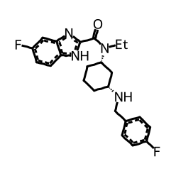 CCN(C(=O)c1nc2cc(F)ccc2[nH]1)[C@H]1CCC[C@@H](NCc2ccc(F)cc2)C1